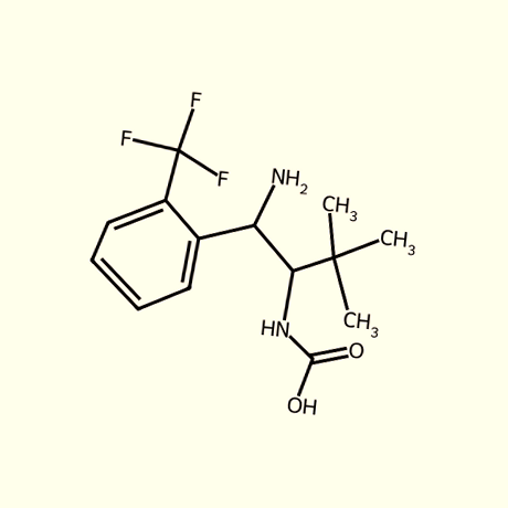 CC(C)(C)C(NC(=O)O)C(N)c1ccccc1C(F)(F)F